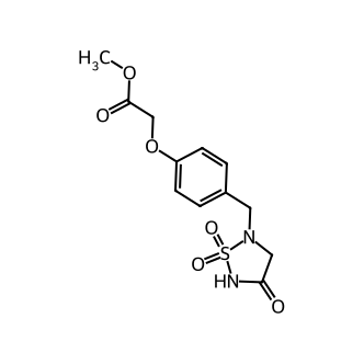 COC(=O)COc1ccc(CN2CC(=O)NS2(=O)=O)cc1